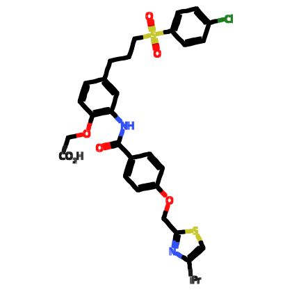 CC(C)c1csc(COc2ccc(C(=O)Nc3cc(CCCS(=O)(=O)c4ccc(Cl)cc4)ccc3OCC(=O)O)cc2)n1